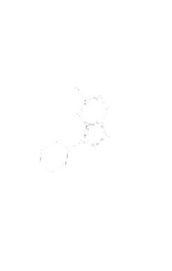 Nc1ncc2ncn(N3CCOCC3)c2n1